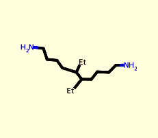 CCC(CCCCN)C(CC)CCCCN